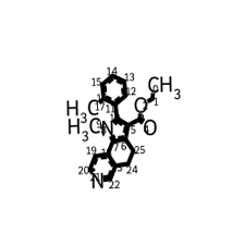 CCOC(=O)c1c2c(n(C)c1-c1ccccc1C)-c1ccncc1CC2